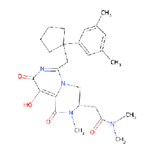 Cc1cc(C)cc(C2(Cc3nc(=O)c(O)c4n3C[C@H](CC(=O)N(C)C)N(C)C4=O)CCCC2)c1